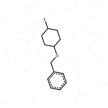 FC1CCC(OCc2ccccc2)CC1